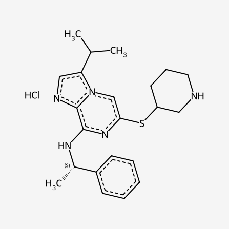 CC(C)c1cnc2c(N[C@@H](C)c3ccccc3)nc(SC3CCCNC3)cn12.Cl